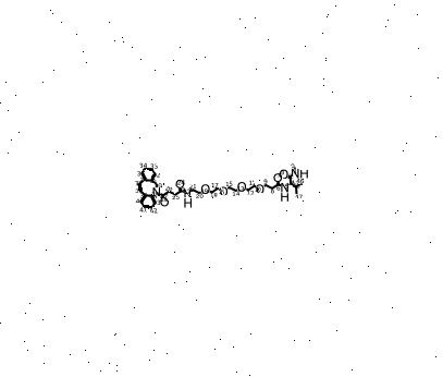 CNC(=O)[C@@H](NC(=O)CCOCCOCCOCCOCCNC(=O)CCC(=O)N1Cc2ccccc2C#Cc2ccccc21)C(C)C